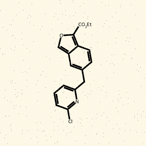 CCOC(=O)c1occ2cc(Cc3cccc(Cl)n3)ccc12